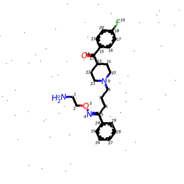 NCCON=C(CCCN1CCC(C(=O)c2ccc(F)cc2)CC1)c1ccccc1